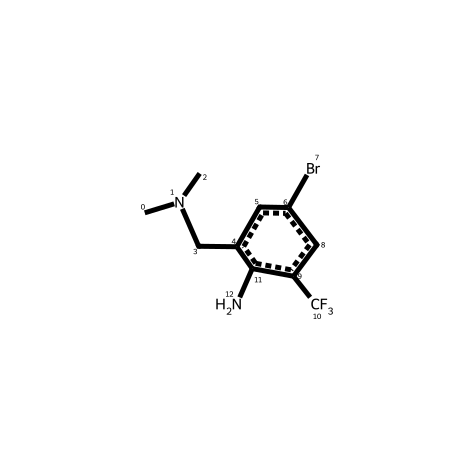 CN(C)Cc1cc(Br)cc(C(F)(F)F)c1N